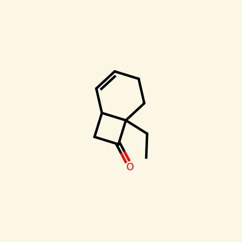 CCC12CCC=CC1CC2=O